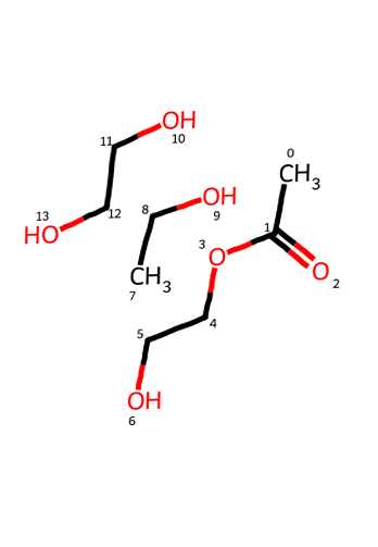 CC(=O)OCCO.CCO.OCCO